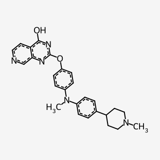 CN1CCC(c2ccc(N(C)c3ccc(Oc4nc(O)c5ccncc5n4)cc3)cc2)CC1